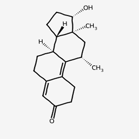 C[C@H]1C[C@]2(C)[C@@H](O)CC[C@H]2[C@@H]2CCC3=CC(=O)CCC3=C21